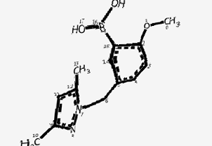 COc1ccc(Cn2nc(C)cc2C)cc1B(O)O